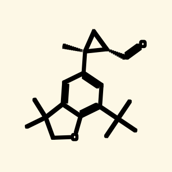 CC(C)(C)c1cc([C@@]2(C)C[C@@H]2C=O)cc2c1OCC2(C)C